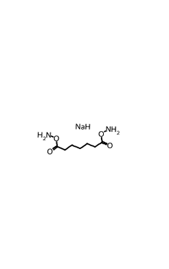 NOC(=O)CCCCCC(=O)ON.[NaH]